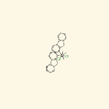 [CH2]=[Zr]([CH3])([CH3])([Cl])([Cl])([c]1cccc2c1Cc1ccccc1-2)[c]1cccc2c1Cc1ccccc1-2